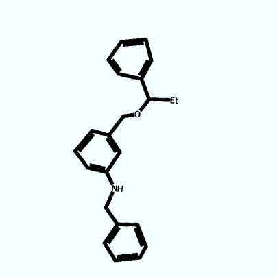 [CH2]CC(OCc1cccc(NCc2ccccc2)c1)c1ccccc1